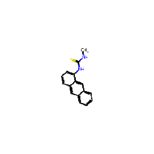 CNC(=S)Nc1cccc2cc3ccccc3cc12